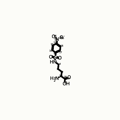 N[C@@H](CCCNS(=O)(=O)c1ccc([N+](=O)[O-])cc1)C(=O)O